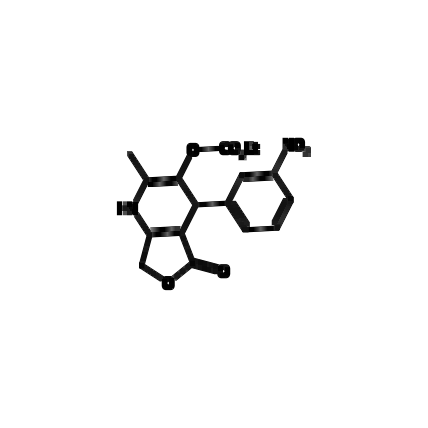 CCOC(=O)OC1=C(C)NC2=C(C(=O)OC2)C1c1cccc([N+](=O)[O-])c1